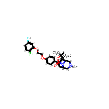 CCOC(=O)C1=C(c2ccc(OCCOc3cc(F)ccc3Cl)cc2)CC2CN(C(C)=O)CC1N2C(=O)OC(C)(C)C(Cl)(Cl)Cl